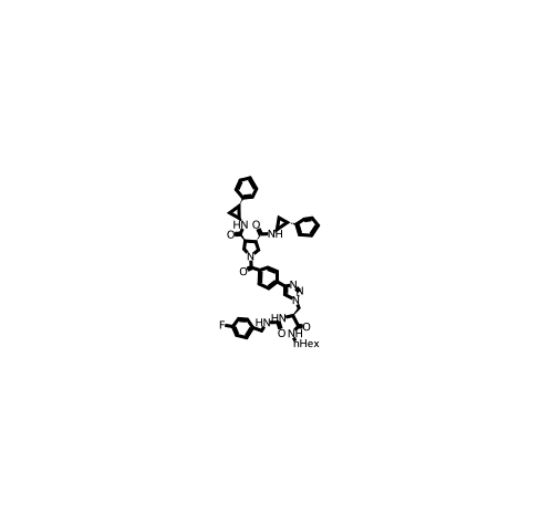 CCCCCCNC(=O)[C@H](Cn1cc(-c2ccc(C(=O)N3C[C@@H](C(=O)N[C@H]4C[C@@H]4c4ccccc4)[C@H](C(=O)N[C@H]4C[C@@H]4c4ccccc4)C3)cc2)nn1)NC(=O)NCc1ccc(F)cc1